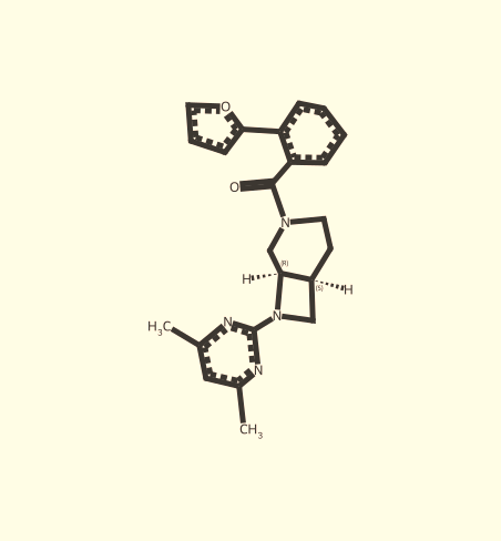 Cc1cc(C)nc(N2C[C@@H]3CCN(C(=O)c4ccccc4-c4ccco4)C[C@@H]32)n1